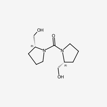 O=C(N1CCC[C@@H]1CO)N1CCC[C@@H]1CO